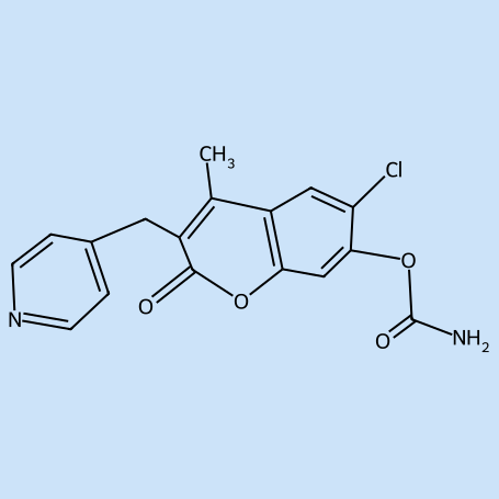 Cc1c(Cc2ccncc2)c(=O)oc2cc(OC(N)=O)c(Cl)cc12